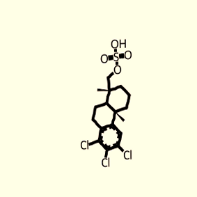 C[C@@]1(COS(=O)(=O)O)CCC[C@]2(C)c3cc(Cl)c(Cl)c(Cl)c3CCC12